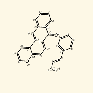 O=C(O)C=Cc1ccccc1.O=c1c2ccccc2nc2c1ccc1occcc12